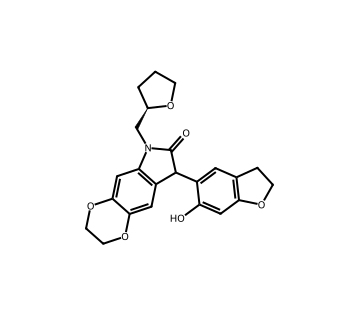 O=C1C(c2cc3c(cc2O)OCC3)c2cc3c(cc2N1C[C@H]1CCCO1)OCCO3